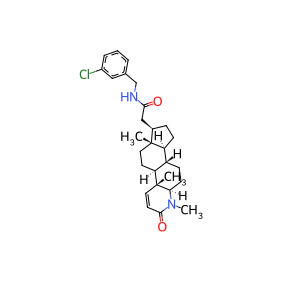 CN1C(=O)C=C[C@]2(C)[C@H]3CC[C@]4(C)[C@@H](CC(=O)NCc5cccc(Cl)c5)CC[C@H]4[C@@H]3CC[C@@H]12